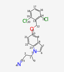 CC(CC#N)n1ccc2cc(OCc3c(Cl)cccc3Cl)ccc21